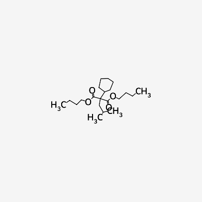 CCCCOC(=O)C(CC(C)C)(C(=O)OCCCC)C1CCCCC1